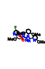 COc1cccc(-c2nnc(NS(=O)(=O)C[C@@H](OC)c3ncc(F)cn3)n2-c2c(OC)cccc2OC)n1